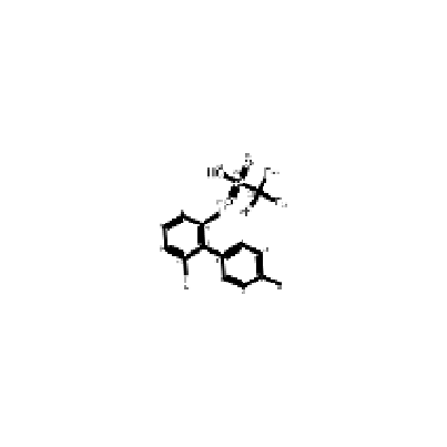 Cc1ccc(-c2c(I)cccc2I)cc1.O=S(=O)(O)C(F)(F)F